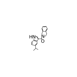 CC(C)c1ccc2[nH]cc(C(=O)N3CCc4ccccc4C3)c2c1